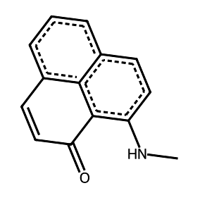 CNc1ccc2cccc3c2c1C(=O)C=C3